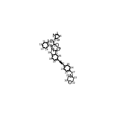 O=C(Nc1nccs1)[C@@H](c1ccccc1)N1Cc2ccc(C#Cc3ccc(CN4CCOCC4)cc3)cc2C1=O